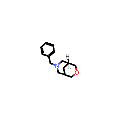 c1ccc(CN2CC3COC[C@H](C3)C2)cc1